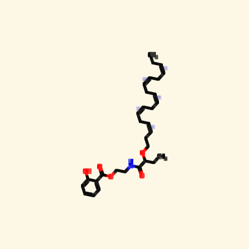 CC/C=C\C/C=C\C/C=C\C/C=C\C/C=C\CCOC(CC)C(=O)NCCOC(=O)c1ccccc1O